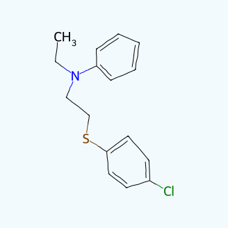 CCN(CCSc1ccc(Cl)cc1)c1ccccc1